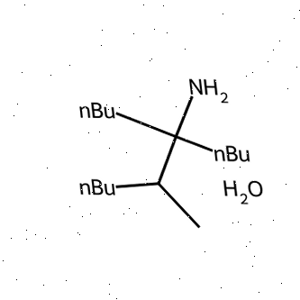 CCCCC(C)C(N)(CCCC)CCCC.O